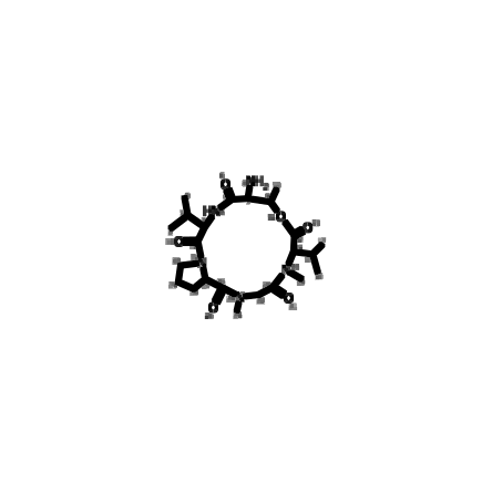 CC(C)C1NC(=O)C(N)C(C)OC(=O)C(C(C)C)N(C)C(=O)CN(C)C(=O)C2CCCN2C1=O